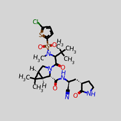 CN(C(C(=O)N1C[C@H]2[C@@H]([C@H]1C(=O)N[C@H](C#N)C[C@@H]1CCNC1=O)C2(C)C)C(C)(C)C)S(=O)(=O)c1ccc(Cl)s1